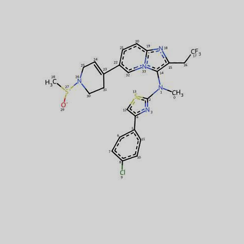 CN(c1nc(-c2ccc(Cl)cc2)cs1)c1c(CC(F)(F)F)nc2ccc(C3=CCN([S+](C)[O-])CC3)cn12